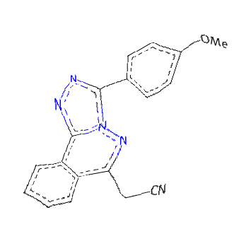 COc1ccc(-c2nnc3c4ccccc4c(CC#N)nn23)cc1